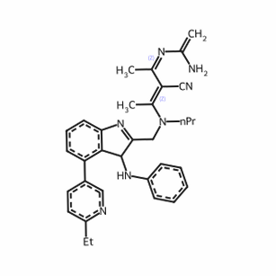 C=C(N)/N=C(C)\C(C#N)=C(/C)N(CCC)CC1=Nc2cccc(-c3ccc(CC)nc3)c2C1Nc1ccccc1